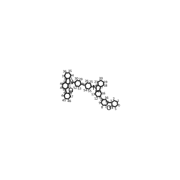 c1ccc2c(c1)oc1ccc(-c3ccc4c(c3)c3ccccc3n4-c3ccc(-c4ccc(-n5c6ccccc6c6ccc7c8ccccc8oc7c65)cc4)cc3)cc12